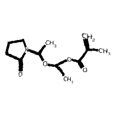 C=C(C)C(=O)OC(C)OC(C)N1CCCC1=O